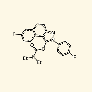 CCN(CC)C(=O)Oc1c2c(ccc3cc(F)ccc32)nn1-c1ccc(F)cc1